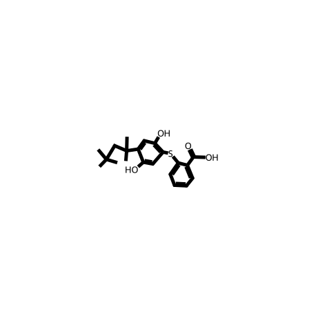 CC(C)(C)CC(C)(C)c1cc(O)c(Sc2ccccc2C(=O)O)cc1O